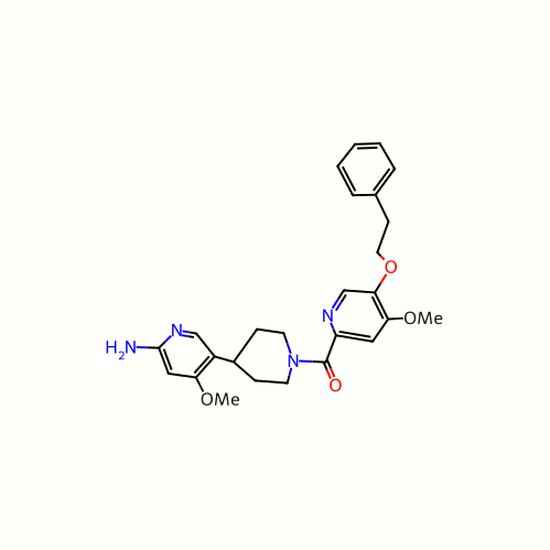 COc1cc(C(=O)N2CCC(c3cnc(N)cc3OC)CC2)ncc1OCCc1ccccc1